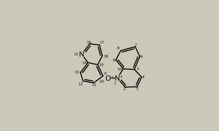 [O-][n+]1cccc2ccccc21.c1ccc2ncccc2c1